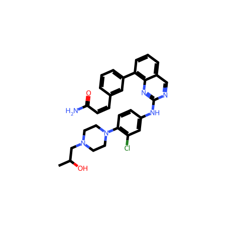 CC(O)CN1CCN(c2ccc(Nc3ncc4cccc(-c5cccc(C=CC(N)=O)c5)c4n3)cc2Cl)CC1